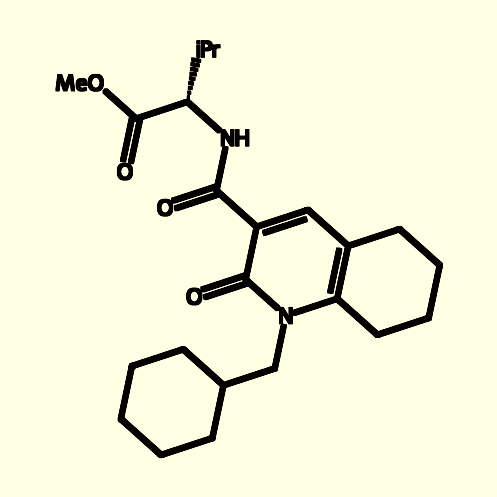 COC(=O)[C@@H](NC(=O)c1cc2c(n(CC3CCCCC3)c1=O)CCCC2)C(C)C